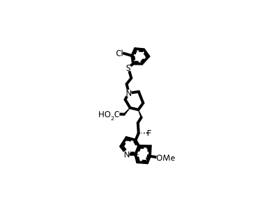 COc1ccc2nccc([C@@H](F)CC[C@@H]3CCN(CCSc4ccccc4Cl)C[C@@H]3CC(=O)O)c2c1